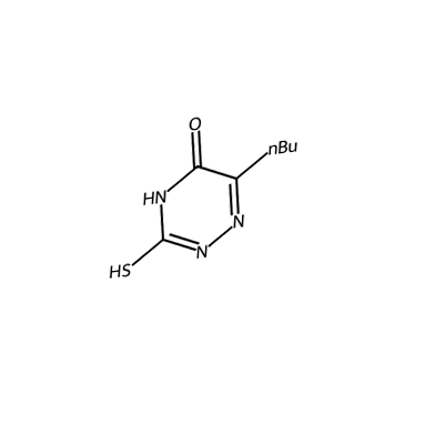 CCCCc1nnc(S)[nH]c1=O